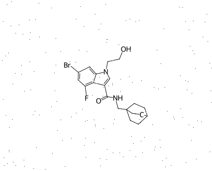 O=C(NCC12CCC(CC1)CC2)c1cn(CCO)c2cc(Br)cc(F)c12